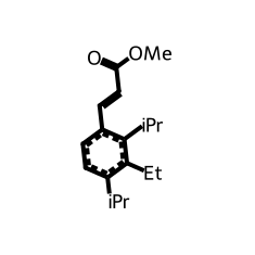 CCc1c(C(C)C)ccc(C=CC(=O)OC)c1C(C)C